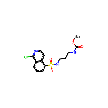 CC(C)(C)OC(=O)NCCCNS(=O)(=O)c1cccc2c(Cl)nccc12